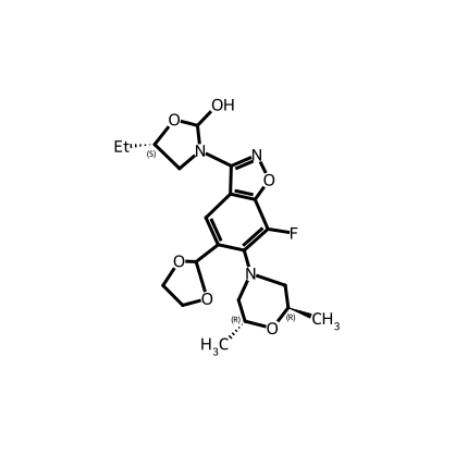 CC[C@H]1CN(c2noc3c(F)c(N4C[C@@H](C)O[C@H](C)C4)c(C4OCCO4)cc23)C(O)O1